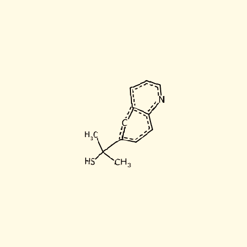 CC(C)(S)c1ccc2ncccc2c1